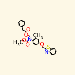 COC(=O)N(COC(=O)Cc1ccccc1)c1ccc(OCc2nc3ccccc3s2)cc1C